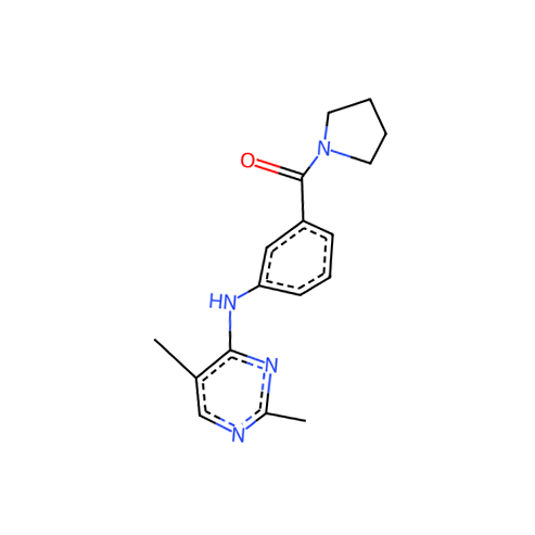 Cc1ncc(C)c(Nc2cccc(C(=O)N3CCCC3)c2)n1